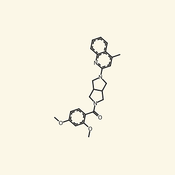 COc1ccc(C(=O)N2CC3CN(c4cc(C)c5ccccc5n4)CC3C2)c(OC)c1